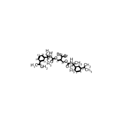 C=C(C)c1cccc(C(C)(C)NC(=O)OCC(COC(=O)NC(C)(C)c2cccc(C(=C)C)c2)C(Br)Br)c1